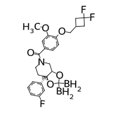 BC1(B)OC2CN(C(=O)c3ccc(OCC4CC(F)(F)C4)c(OC)c3)CC[C@]2(c2cccc(F)c2)O1